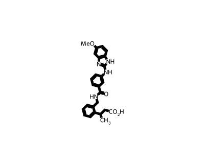 COc1ccc2[nH]c(Nc3cccc(C(=O)NCc4ccccc4C(C)CC(=O)O)c3)nc2c1